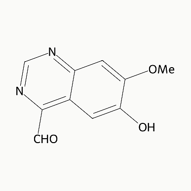 COc1cc2ncnc(C=O)c2cc1O